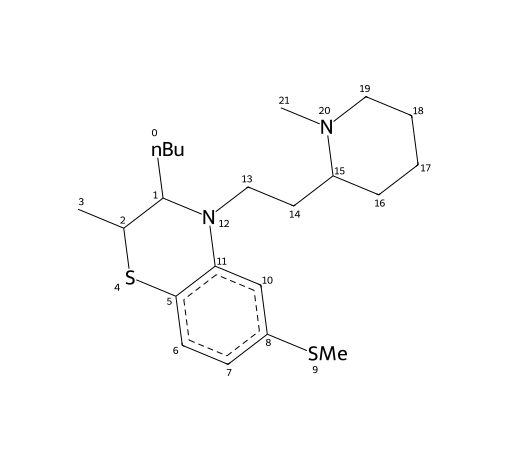 CCCCC1C(C)Sc2ccc(SC)cc2N1CCC1CCCCN1C